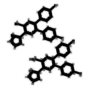 N#Cc1nc(-c2ccc(Cl)cc2)c(-c2ccc(Cl)cc2)nc1-c1nnn[nH]1.O=C(O)c1nc(-c2ccc(Cl)cc2)c(-c2ccc(Cl)cc2)nc1-c1nnn[nH]1